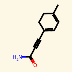 CC1=CC=C(C#CC(N)=O)CC1